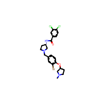 CN1CCC(Oc2ccc(CN3CC[C@H](NC(=O)c4ccc(Cl)c(Cl)c4)C3)cc2Br)C1